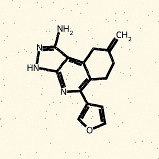 C=C1CCc2c(-c3ccoc3)nc3[nH]nc(N)c3c2C1